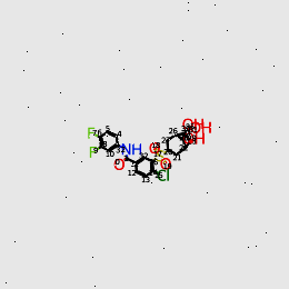 O=C(Nc1ccc(F)c(F)c1)c1ccc(Cl)c(S(=O)(=O)[C@@H]2CC3CC(O)C(C2)[C@@]3(O)CO)c1